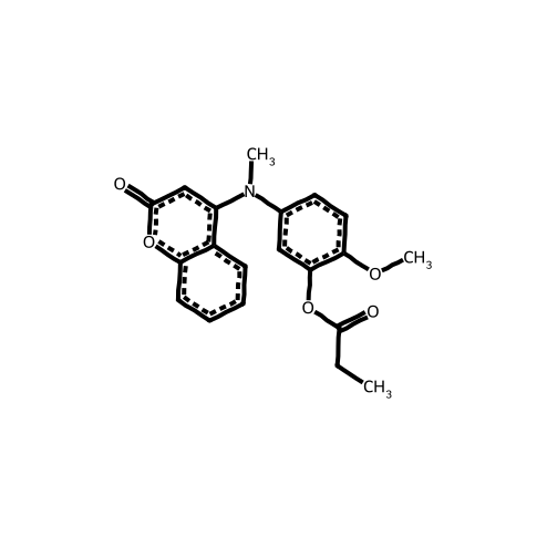 CCC(=O)Oc1cc(N(C)c2cc(=O)oc3ccccc23)ccc1OC